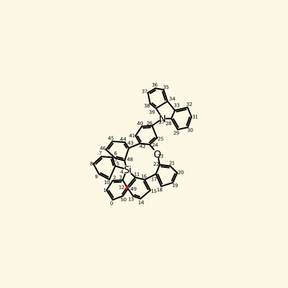 c1ccc([Si]2(c3ccccc3)c3ccccc3-c3ccccc3Oc3cc(-n4c5ccccc5c5ccccc54)ccc3-c3ccccc32)cc1